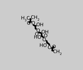 C=CC(=O)OCC(O)COC(=O)C(O)C(O)C(=O)OCC(O)COC(=O)C(=C)C